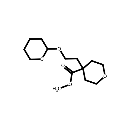 COC(=O)C1(CCOC2CCCCO2)CCOCC1